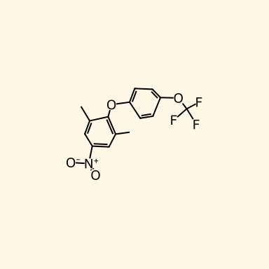 Cc1cc([N+](=O)[O-])cc(C)c1Oc1ccc(OC(F)(F)F)cc1